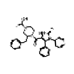 O=C(O)N1CCN(C(=O)c2[nH]c(=O)n(-c3ccccc3)c2-c2ccccc2)C(Cc2ccccc2)C1